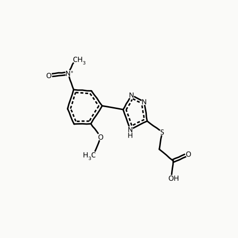 COc1ccc([N+](C)=O)cc1-c1nnc(SCC(=O)O)[nH]1